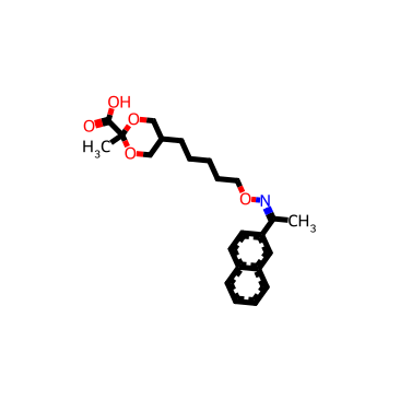 C/C(=N/OCCCCCC1COC(C)(C(=O)O)OC1)c1ccc2ccccc2c1